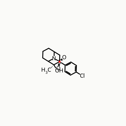 C[C@@]1(O)CCC2CCCC1N2S(=O)(=O)c1ccc(Cl)cc1